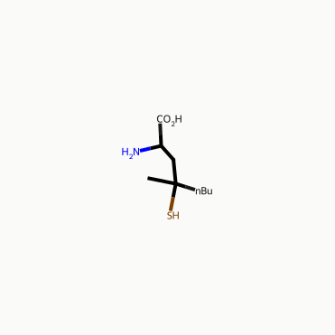 CCCCC(C)(S)CC(N)C(=O)O